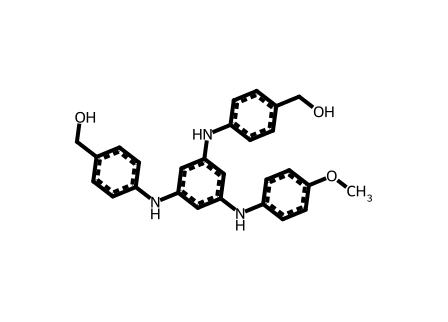 COc1ccc(Nc2cc(Nc3ccc(CO)cc3)cc(Nc3ccc(CO)cc3)c2)cc1